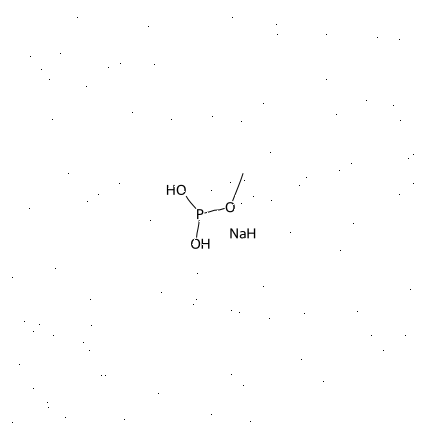 COP(O)O.[NaH]